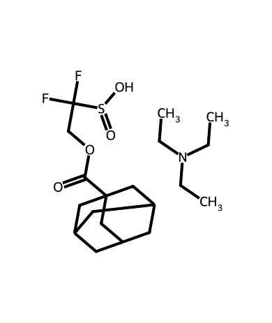 CCN(CC)CC.O=C(OCC(F)(F)S(=O)O)C12CC3CC(CC(C3)C1)C2